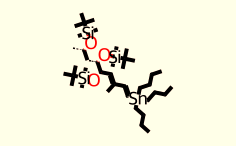 CCC[CH2][Sn](/[CH]=C/C(C)=C/[C@H](O[Si](C)(C)C(C)(C)C)[C@H](C[C@H](C)O[Si](C)(C)C(C)(C)C)O[Si](C)(C)C(C)(C)C)([CH2]CCC)[CH2]CCC